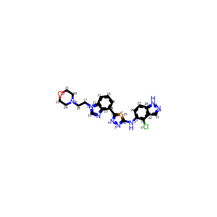 Clc1c(Nc2nnc(-c3cccc4c3ncn4CCN3CCOCC3)s2)ccc2[nH]ncc12